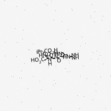 CC(C)[C@H](NC(=O)[C@H](CC(=O)O)NC(=O)CNC(=O)[C@H]1C[C@H](CNC2NN2)CN1)C(=O)O